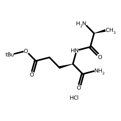 C[C@H](N)C(=O)N[C@H](CCC(=O)OC(C)(C)C)C(N)=O.Cl